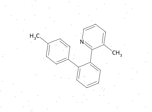 Cc1ccc(-c2ccccc2-c2ncccc2C)cc1